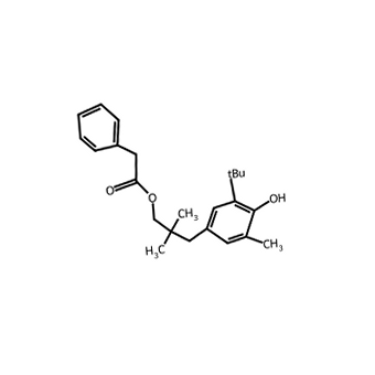 Cc1cc(CC(C)(C)COC(=O)Cc2ccccc2)cc(C(C)(C)C)c1O